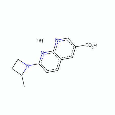 CC1CCN1c1ccc2cc(C(=O)O)cnc2n1.[LiH]